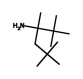 CC(C)(C)CC(C)(N)C(C)(C)C